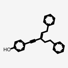 Oc1ccc(C#CC(=CCc2ccccc2)CCc2ccccc2)cc1